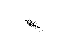 CCN(CC)CC#C[C@]1(O)CC[C@H]2[C@@H]3CCC4=CCCC[C@@H]4[C@H]3CC[C@@]21CC